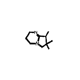 CC1C2=NCCCN2CC1(C)C